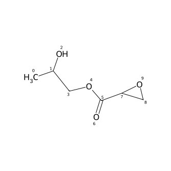 CC(O)COC(=O)C1CO1